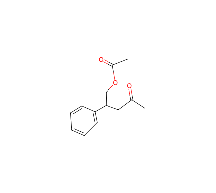 CC(=O)CC(COC(C)=O)c1ccccc1